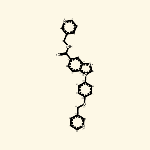 O=C(NCc1cccnc1)c1ccc2c(c1)ncn2-c1ccc(OCc2cccnc2)cc1